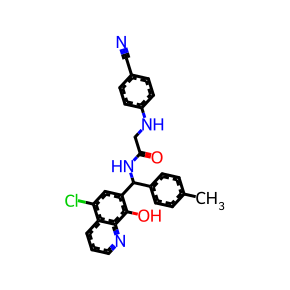 Cc1ccc(C(NC(=O)CNc2ccc(C#N)cc2)c2cc(Cl)c3cccnc3c2O)cc1